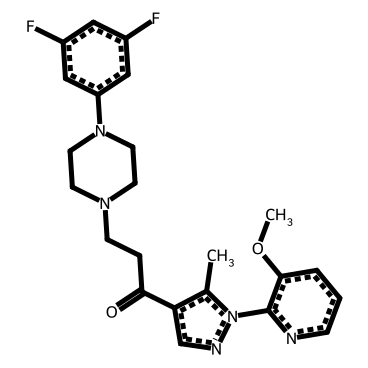 COc1cccnc1-n1ncc(C(=O)CCN2CCN(c3cc(F)cc(F)c3)CC2)c1C